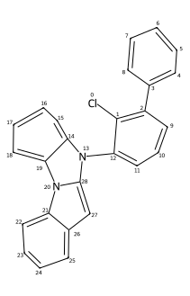 Clc1c(-c2ccccc2)cccc1-n1c2ccccc2n2c3ccccc3cc12